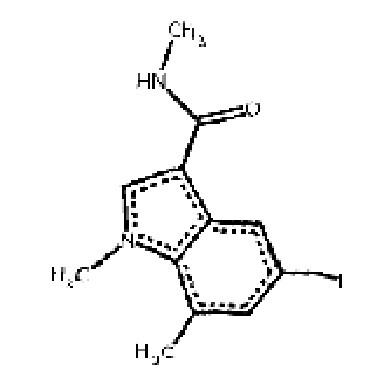 CNC(=O)c1cn(C)c2c(C)cc(I)cc12